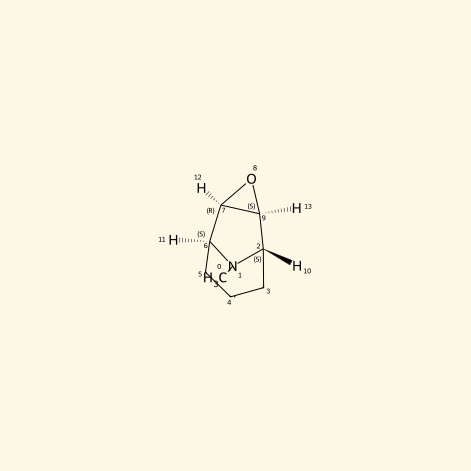 CN1[C@H]2C[CH]C[C@H]1[C@H]1O[C@H]12